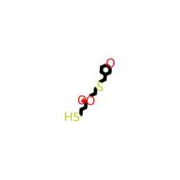 O=C(CCCS)OCCCSCCC1CCC2OC2C1